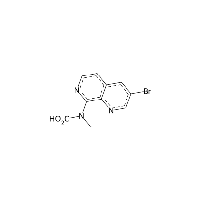 CN(C(=O)O)c1nccc2cc(Br)cnc12